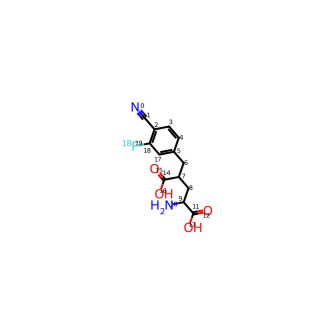 N#Cc1ccc(CC(CC(N)C(=O)O)C(=O)O)cc1[18F]